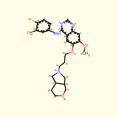 COc1cc2ncnc(Nc3ccc(F)c(Cl)c3)c2cc1OCCCN1CC2CCOCC2C1